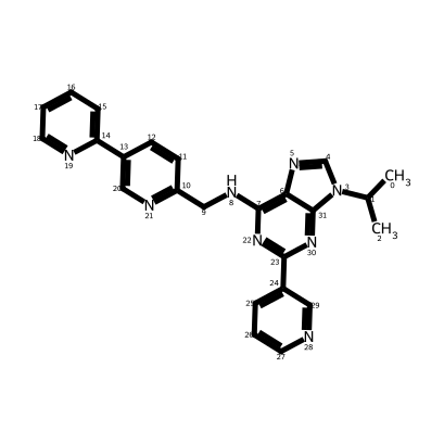 CC(C)n1cnc2c(NCc3ccc(-c4ccccn4)cn3)nc(-c3cccnc3)nc21